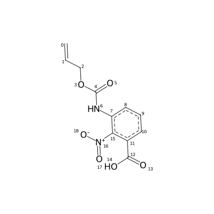 C=CCOC(=O)Nc1cccc(C(=O)O)c1[N+](=O)[O-]